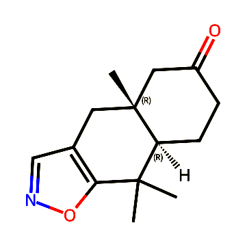 CC1(C)c2oncc2C[C@]2(C)CC(=O)CC[C@@H]12